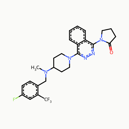 CN(Cc1ccc(F)cc1C(F)(F)F)C1CCN(c2nnc(N3CCCC3=O)c3ccccc23)CC1